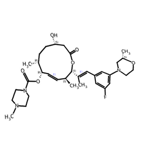 C/C(=C\c1cc(F)cc(N2CCO[C@@H](C)C2)c1)[C@H]1OC(=O)C[C@@H](O)CC[C@@H](C)[C@@H](OC(=O)N2CCN(C)CC2)/C=C/[C@@H]1C